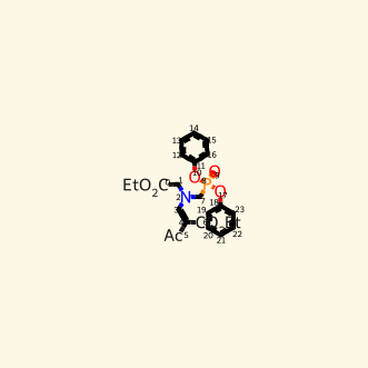 CCOC(=O)CN(C=C(C(C)=O)C(=O)OCC)CP(=O)(Oc1ccccc1)Oc1ccccc1